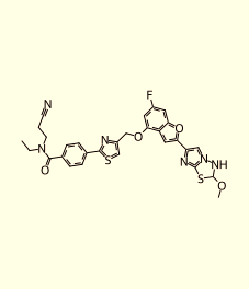 CCN(CCC#N)C(=O)c1ccc(-c2nc(COc3cc(F)cc4oc(-c5cn6c(n5)SC(OC)N6)cc34)cs2)cc1